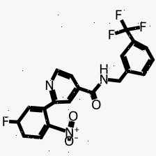 O=C(NCc1cccc(C(F)(F)F)c1)c1ccnc(C2=CC(F)CC=C2[N+](=O)[O-])c1